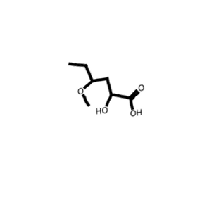 CCC(CC(O)C(=O)O)OC